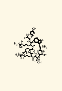 CC(C)[C@H](NC(=O)[C@@H](N)Cc1c[nH]c2ccccc12)C(=O)N[C@H](C(=O)N[C@@H](CCCNC(=N)N)C(=O)N[C@@H](CCC(N)=O)C(=O)N(C)[C@@H](CCCNC(=N)N)C(=O)N[C@@H](Cc1ccc(O)cc1)C(N)=O)[C@@H](C)O